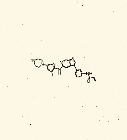 C=CC(=O)Nc1cccc(-c2csc3cnc(Nc4ncc(N5CCN(C)CC5)cc4C)cc23)c1